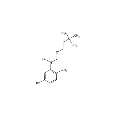 Cc1ccc(Br)cc1N(COCC[Si](C)(C)C)C(C)C